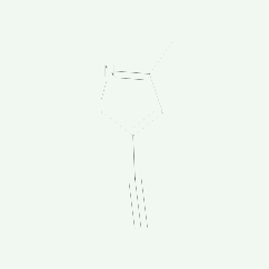 C#Cc1cc(C)ns1